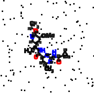 COc1cc(C(C)NC(=O)c2cc(C)nc(NC(=O)C3CC3)n2)cnc1OCC(F)(F)F